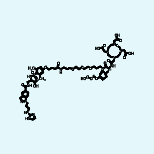 Cc1cc(OCCCC(=O)NCCCOCCOCCOCCCNC(=O)[C@@H](Cc2ccc(OSOOO)cc2)NC(=O)CN2CCN(CC(=O)O)CCN(CC(=O)O)CCN(CC(=O)O)CC2)cc(C)c1S(=O)(=O)NC(CNC(=O)c1ccc2c(cnn2CCCNc2ncc[nH]2)c1)C(=O)O